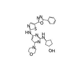 O[C@H]1CC[C@H](Nc2nc(Nc3ncc(-c4nnc(-c5ccccc5)o4)s3)cc(N3CCOCC3)n2)C1